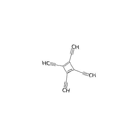 C#CC1=C(C#C)C(C#C)=C1C#C